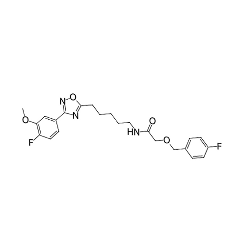 COc1cc(-c2noc(CCCCCNC(=O)COCc3ccc(F)cc3)n2)ccc1F